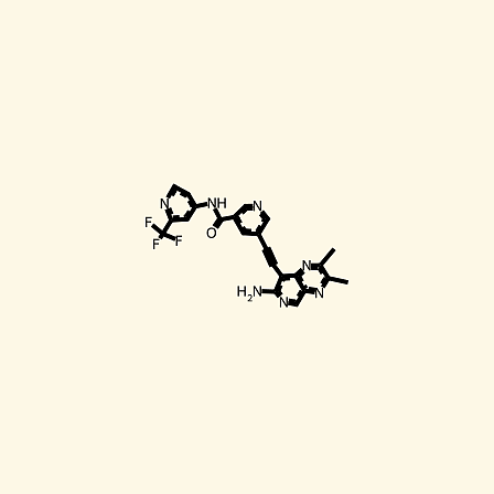 Cc1nc2cnc(N)c(C#Cc3cncc(C(=O)Nc4ccnc(C(F)(F)F)c4)c3)c2nc1C